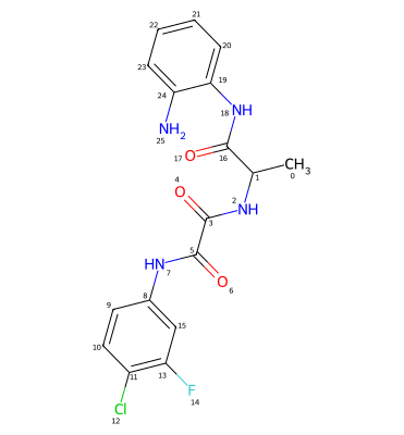 CC(NC(=O)C(=O)Nc1ccc(Cl)c(F)c1)C(=O)Nc1ccccc1N